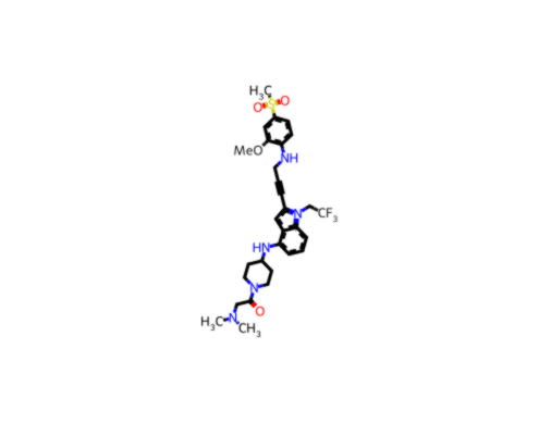 COc1cc(S(C)(=O)=O)ccc1NCC#Cc1cc2c(NC3CCN(C(=O)CN(C)C)CC3)cccc2n1CC(F)(F)F